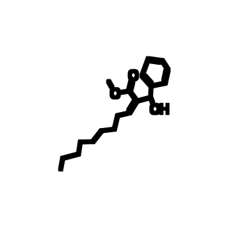 CCCCCCCC/C=C(\C(=O)OC)C(O)c1ccccc1